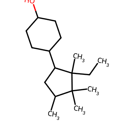 CCC1(C)C(C2CCC(O)CC2)CC(C)C1(C)C